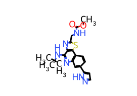 COC(=O)NCc1nc2c(NC(C)(C)C)nc3cc(-c4ccn[nH]4)ccc3c2s1